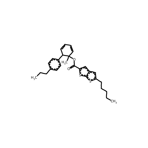 CCCCCc1cc2cc(C(=O)OC3(C)C=CC=CC3c3ccc(CCC)cc3)sc2s1